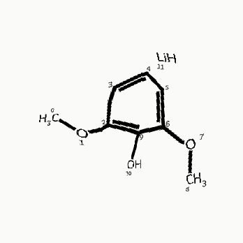 COc1cccc(OC)c1O.[LiH]